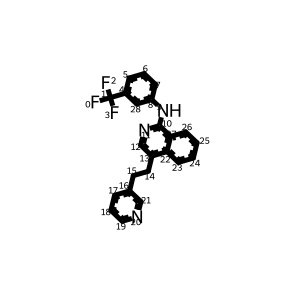 FC(F)(F)c1cccc(Nc2ncc(CCc3cccnc3)c3ccccc23)c1